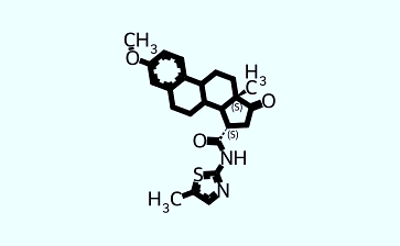 COc1ccc2c(c1)CCC1C2CC[C@]2(C)C(=O)C[C@H](C(=O)Nc3ncc(C)s3)C12